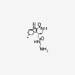 NCCNC(=O)CC1=CCNC(=O)c2[nH]c3ccc(F)cc3c21